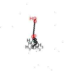 CC(C)CCCC(C)C1CCC2C3CC=C4CC(OC(=O)CCCCCCCCCCCCCCCOCCO)CCC4(C)C3CCC12C